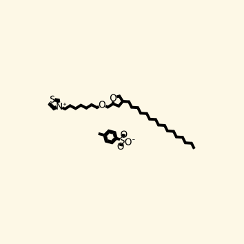 CCCCCCCCCCCCCCCCC1COC(COCCCCCCC[n+]2ccsc2)C1.Cc1ccc(S(=O)(=O)[O-])cc1